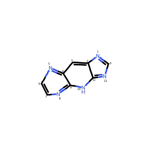 c1nc2cc3nccnc3[nH]c-2n1